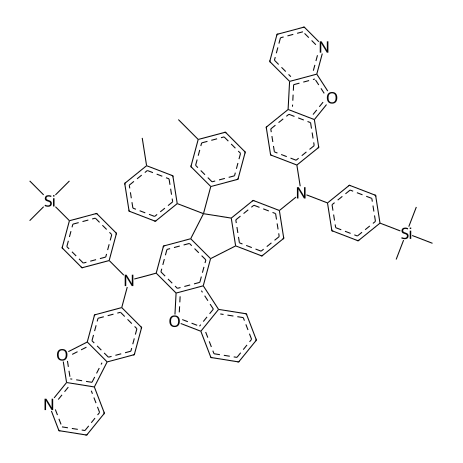 Cc1cccc(C2(c3cccc(C)c3)c3cc(N(c4ccc([Si](C)(C)C)cc4)c4ccc5c(c4)oc4ncccc45)ccc3-c3c2cc(N(c2ccc([Si](C)(C)C)cc2)c2ccc4c(c2)oc2ncccc24)c2oc4ccccc4c32)c1